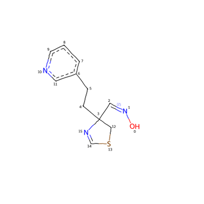 O/N=C\C1(CCc2cccnc2)CSC=N1